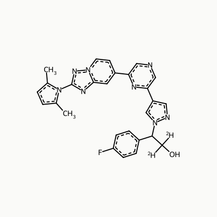 [2H]C([2H])(O)C(c1ccc(F)cc1)n1cc(-c2cncc(-c3ccn4nc(-n5c(C)ccc5C)nc4c3)n2)cn1